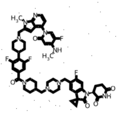 CNc1cc(=O)n(-c2ccnc3c2cc(CN2CCC(c4c(F)cc(C(=O)N5CCC(CN6CCN(Cc7cc8c(cc7F)N([C@H]7CCC(=O)NC7=O)C(=O)C87CC7)CC6)CC5)cc4F)CC2)n3C)cc1F